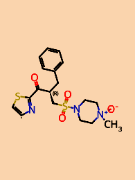 C[N+]1([O-])CCN(S(=O)(=O)C[C@H](Cc2ccccc2)C(=O)c2n[c]cs2)CC1